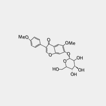 COc1ccc(-c2coc3cc(O[C@@H]4OC(CO)[C@@H](O)[C@H](O)C4O)c(OC)cc3c2=O)cc1